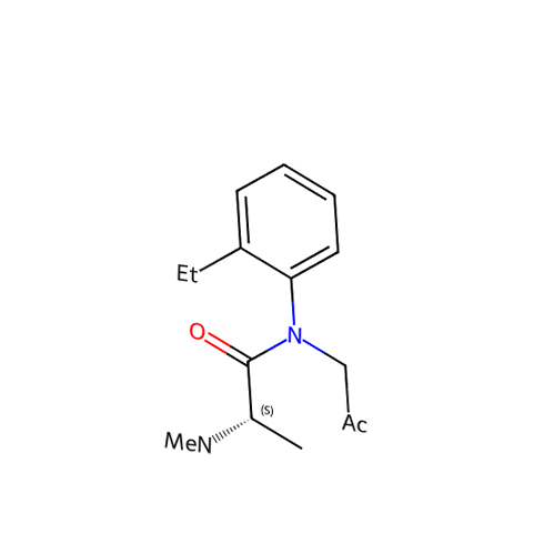 CCc1ccccc1N(CC(C)=O)C(=O)[C@H](C)NC